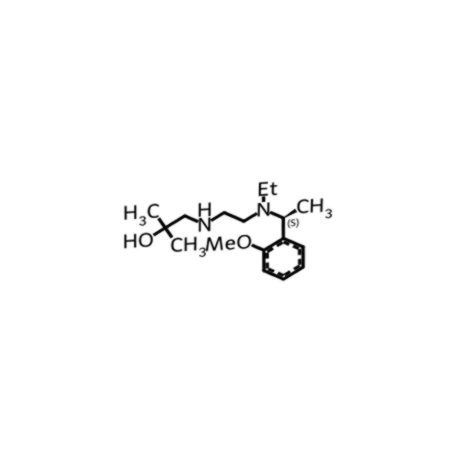 CCN(CCNCC(C)(C)O)[C@@H](C)c1ccccc1OC